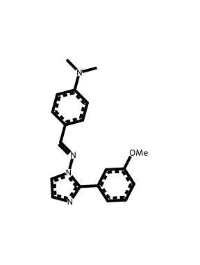 COc1cccc(-c2nccn2/N=C/c2ccc(N(C)C)cc2)c1